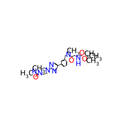 CN(C)C(=O)N1CCN(c2ncc(-c3cccc(CN(C)C(=O)CNC(=O)OC(C)(C)C)c3)cn2)CC1